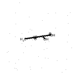 CCCCCCCCCOC(=O)OCCCCCCN(CCO)CCCCCCC(=O)O